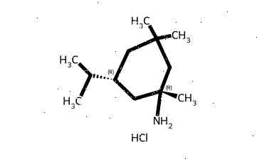 CC(C)[C@@H]1CC(C)(C)C[C@](C)(N)C1.Cl